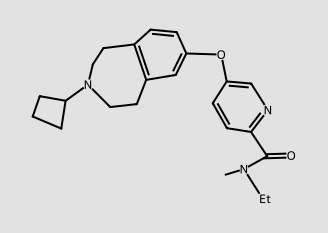 CCN(C)C(=O)c1ccc(Oc2ccc3c(c2)CCN(C2CCC2)CC3)cn1